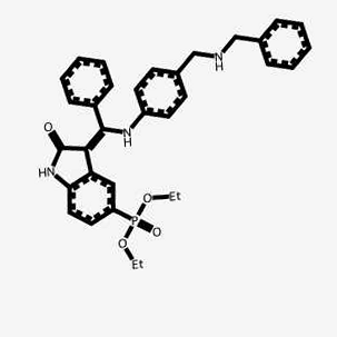 CCOP(=O)(OCC)c1ccc2c(c1)C(=C(Nc1ccc(CNCc3ccccc3)cc1)c1ccccc1)C(=O)N2